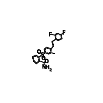 Cc1cc(S(=O)(=O)c2ccccc2C(N)=O)ccc1C=Cc1ccc(F)cc1F